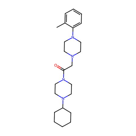 Cc1ccccc1N1CCN(CC(=O)N2CCN(C3CCCCC3)CC2)CC1